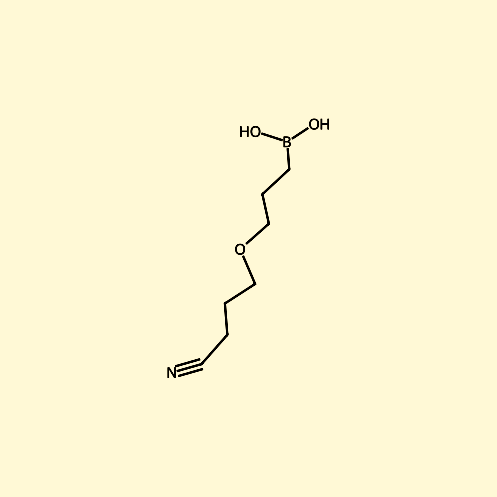 N#CCCCOCCCB(O)O